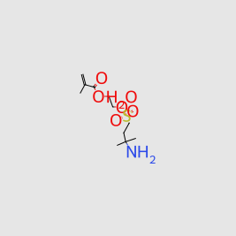 C=C(C)C(=O)OCCOS(=O)(=O)CCC(C)(C)N.O